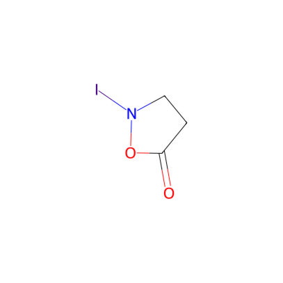 O=C1CCN(I)O1